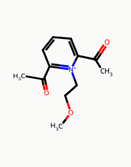 COCC[n+]1c(C(C)=O)cccc1C(C)=O